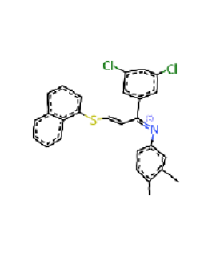 Cc1ccc(/N=C(\C=CSc2cccc3ccccc23)c2cc(Cl)cc(Cl)c2)cc1C